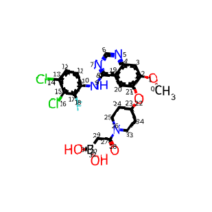 COc1cc2ncnc(Nc3ccc(Cl)c(Cl)c3F)c2cc1OC1CCN(C(=O)CB(O)O)CC1